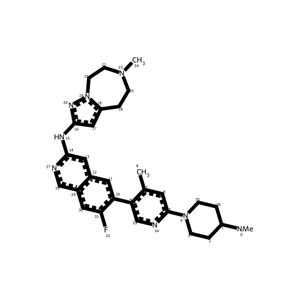 CNC1CCN(c2cc(C)c(-c3cc4cc(Nc5cc6n(n5)CCN(C)CC6)ncc4cc3F)cn2)CC1